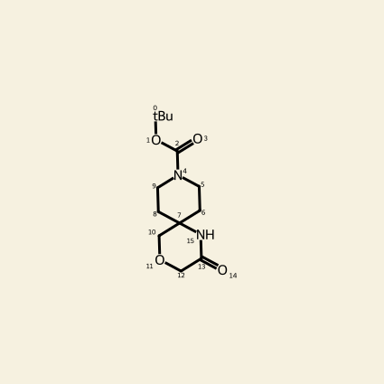 CC(C)(C)OC(=O)N1CCC2(CC1)COCC(=O)N2